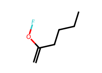 C=C(CCCC)OF